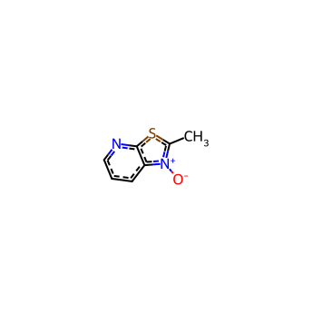 Cc1sc2ncccc2[n+]1[O-]